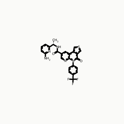 C[C@H](NC(=O)c1cnc2c(c1)c1cscc1c(=O)n2-c1ccc(C(F)(F)F)cc1)c1cccc(N)n1